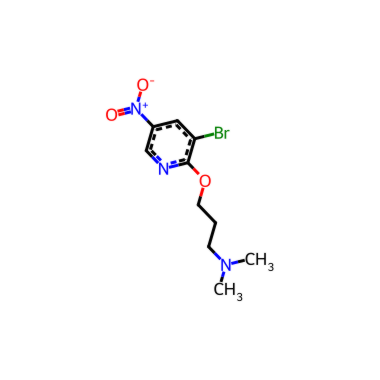 CN(C)CCCOc1ncc([N+](=O)[O-])cc1Br